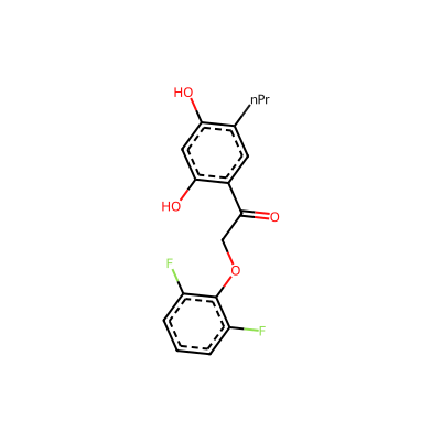 CCCc1cc(C(=O)COc2c(F)cccc2F)c(O)cc1O